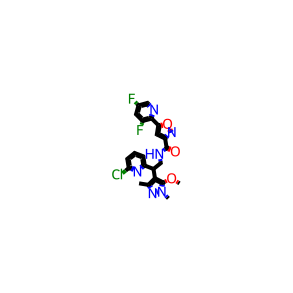 COc1c(C(CNC(=O)c2cc(-c3ncc(F)cc3F)on2)c2cccc(Cl)n2)c(C)nn1C